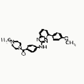 COc1ccc(-c2cccc3nc(Nc4ccc(C(=O)N5CCN(C)CC5)cc4)nn23)cc1